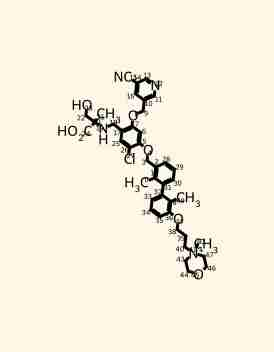 Cc1c(COc2cc(OCc3cncc(C#N)c3)c(CNC(C)(CO)C(=O)O)cc2Cl)cccc1-c1cccc(OCCC[N+]2(C)CCOCC2)c1C